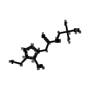 CC(F)(F)CNC(=O)Cn1cnc(CF)c1[N+](=O)[O-]